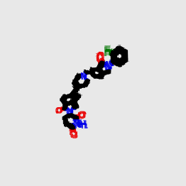 O=C1CCC(N2Cc3cc(C4CCN(Cc5ccc6c(c5)C(=O)N(c5ccccc5F)C6)CC4)ccc3C2=O)C(=O)N1